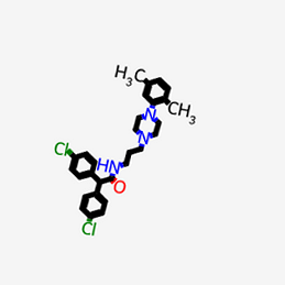 Cc1ccc(C)c(N2CCN(CCCNC(=O)C(c3ccc(Cl)cc3)c3ccc(Cl)cc3)CC2)c1